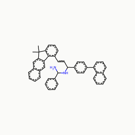 CC1(C)c2cc3ccccc3cc2-c2c(/C=C/C(NC(N)c3ccccc3)c3ccc(-c4cccc5ccccc45)cc3)cccc21